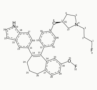 FCCCN1CC[C@H](Oc2ccc(C3=C(c4ccc5[nH]ccc5c4)CCCc4ccc(OF)cc43)cc2)C1